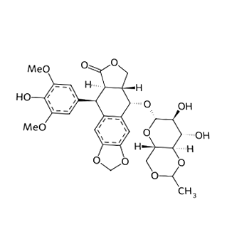 COc1cc([C@@H]2c3cc4c(cc3[C@@H](O[C@H]3O[C@H]5COC(C)O[C@@H]5[C@@H](O)[C@@H]3O)[C@H]3COC(=O)[C@H]23)OCO4)cc(OC)c1O